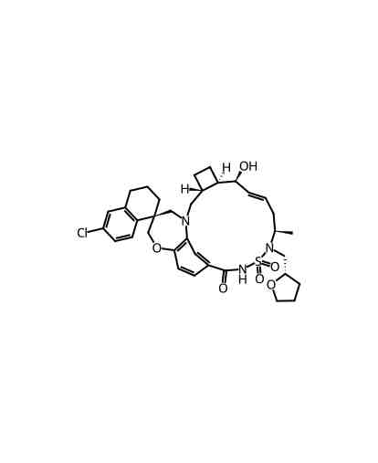 C[C@@H]1C/C=C/[C@H](O)[C@@H]2CC[C@H]2CN2C[C@@]3(CCCc4cc(Cl)ccc43)COc3ccc(cc32)C(=O)NS(=O)(=O)N1C[C@@H]1CCCO1